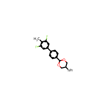 CCCC1COC(c2ccc(-c3cc(F)c(C)c(F)c3)cc2)OC1